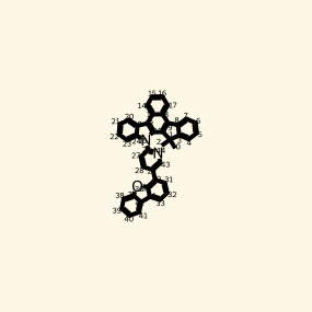 CC1(C)c2ccccc2-c2c1c1c(c3ccccc23)c2ccccc2n1-c1ccc(-c2cccc3c2oc2ccccc23)cn1